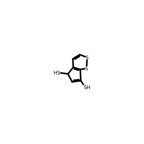 SC1=CC(S)C2=C1SSC=C2